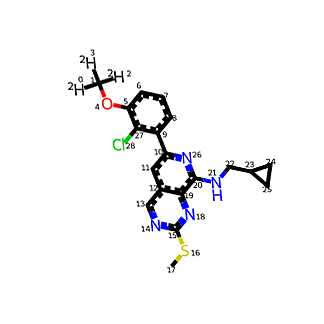 [2H]C([2H])([2H])Oc1cccc(-c2cc3cnc(SC)nc3c(NCC3CC3)n2)c1Cl